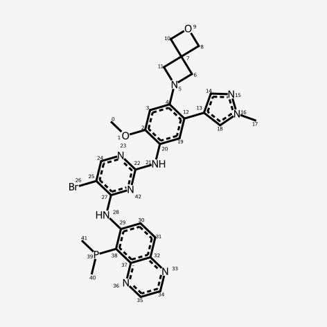 COc1cc(N2CC3(COC3)C2)c(-c2cnn(C)c2)cc1Nc1ncc(Br)c(Nc2ccc3nccnc3c2P(C)C)n1